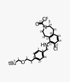 CC(C)(C)COCCc1ccc(CNc2c(Cl)ccc3c2CCN(C(=O)C(F)(F)F)CC3)cc1